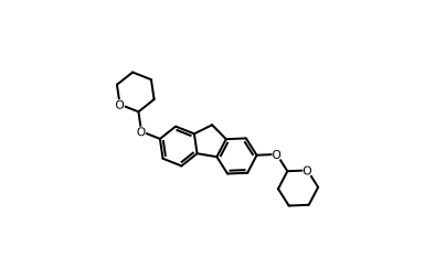 c1cc2c(cc1OC1CCCCO1)Cc1cc(OC3CCCCO3)ccc1-2